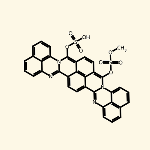 COS(=O)(=O)Oc1c2ccc3c(OS(=O)(=O)O)n4c5cccc6cccc(nc4c4ccc(c2c34)c2nc3cccc4cccc(c43)n12)c65